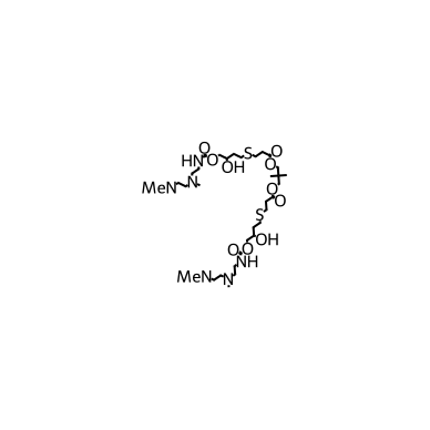 CNCCN(C)CCNC(=O)OCC(O)CCSCCC(=O)OCC(C)(C)COC(=O)CCSCCC(O)COC(=O)NCCN(C)CCNC